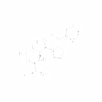 CC(C)[C@H](NC(=O)[C@H](C)N)C(=O)N1CCC[C@H]1C(=O)c1ccccn1